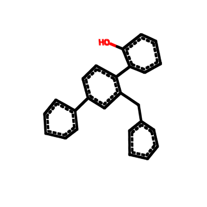 Oc1ccccc1-c1ccc(-c2ccccc2)cc1Cc1ccccc1